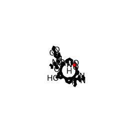 C=CS(=O)(=O)N1CC[C@H](C(=O)N(C)[C@H](C(=O)N[C@H]2Cc3cc(O)cc(c3)-c3ccc4c(c3)c(c(-c3cncnc3)n4CC)CC(C)(C)COC(=O)[C@@H]3CCCN(N3)C2=O)C(C)C)C1